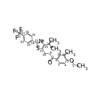 C[CH]Oc1ccc(C(=O)CCc2sc(-c3ccc(C(F)(F)F)cc3)nc2C(C)C)cc1C